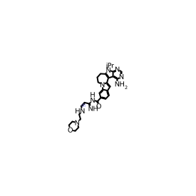 CC(C)n1c2c(c3c(N)ncnc31)-c1cc3ccc(C(=O)NC(=N)/C=C\NCCN4CCOCC4)cc3n1CCC2